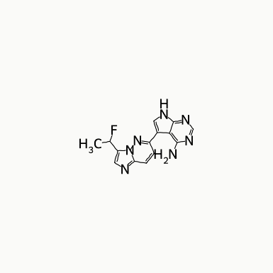 CC(F)c1cnc2ccc(-c3c[nH]c4ncnc(N)c34)nn12